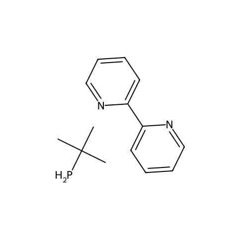 CC(C)(C)P.c1ccc(-c2ccccn2)nc1